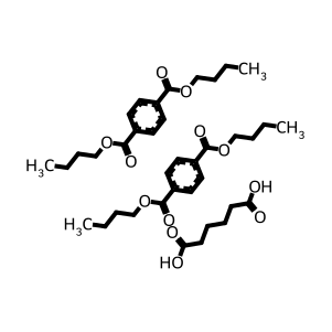 CCCCOC(=O)c1ccc(C(=O)OCCCC)cc1.CCCCOC(=O)c1ccc(C(=O)OCCCC)cc1.O=C(O)CCCCC(=O)O